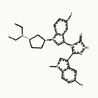 CCN(CC)[C@H]1CC[C@H](n2cc(-n3c(-c4cn(C)c5ccc(F)cc45)n[nH]c3=O)c3cc(F)ccc32)C1